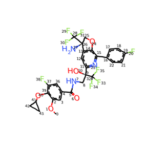 COc1cc(C(=O)NC[C@](O)(c2cc3c(c(-c4ccc(F)cc4)n2)OC[C@@]3(N)C(F)(F)F)C(F)(F)F)cc(F)c1OC1CC1